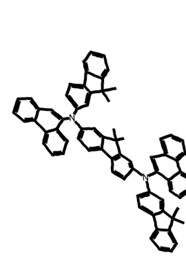 CC1(C)c2ccccc2-c2ccc(N(c3ccc4c(c3)C(C)(C)c3cc(N(c5ccc6c(c5)C(C)(C)c5ccccc5-6)c5cc6ccccc6c6ccccc56)ccc3-4)c3cc4ccccc4c4ccccc34)cc21